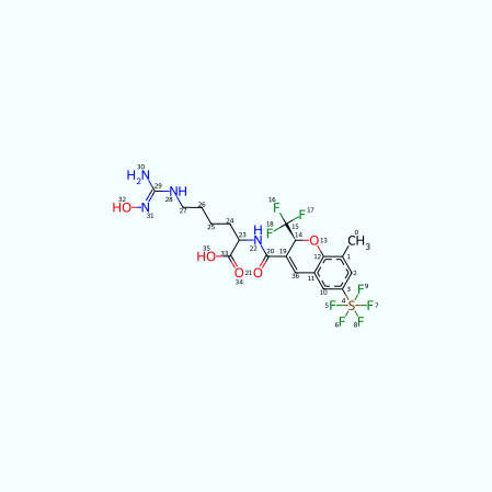 Cc1cc(S(F)(F)(F)(F)F)cc2c1O[C@H](C(F)(F)F)C(C(=O)NC(CCCCNC(N)=NO)C(=O)O)=C2